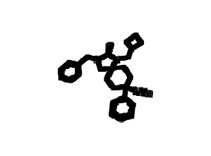 CN[C@]1(c2ccccc2)CC[C@@]2(CC1)CN(Cc1ccccc1)C(=O)N2CC1CCC1